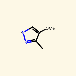 COC1=C[N]N=C1C